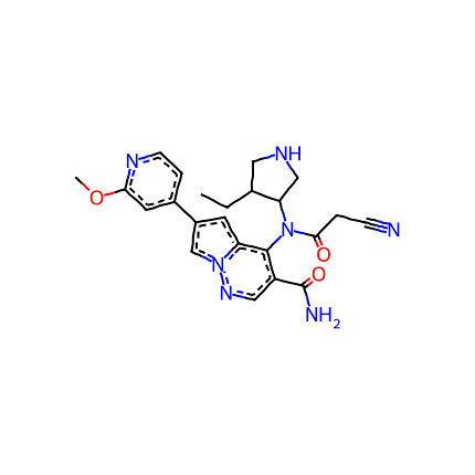 CCC1CNCC1N(C(=O)CC#N)c1c(C(N)=O)cnn2cc(-c3ccnc(OC)c3)cc12